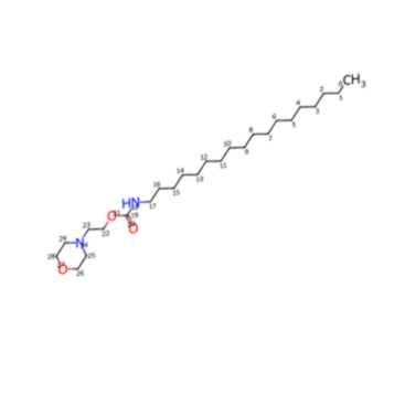 CCCCCCCCCCCCCCCCCCNC(=O)OCCN1CCOCC1